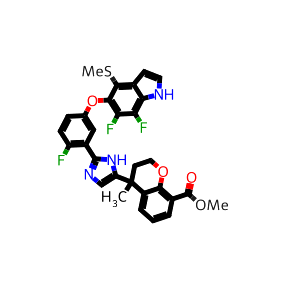 COC(=O)c1cccc2c1OCCC2(C)c1cnc(-c2cc(Oc3c(F)c(F)c4[nH]ccc4c3SC)ccc2F)[nH]1